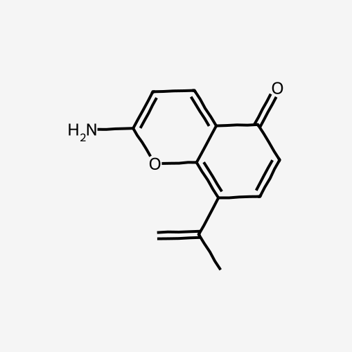 C=C(C)c1ccc(=O)c2ccc(N)oc1-2